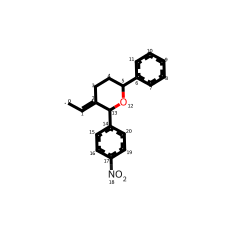 [CH2]/C=C1\CCC(c2ccccc2)OC1c1ccc([N+](=O)[O-])cc1